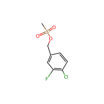 CS(=O)(=O)OCc1ccc(Cl)c(F)c1